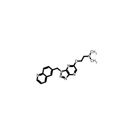 CN(C)CCOc1cnc2nnn(Cc3ccc4ncccc4c3)c2n1